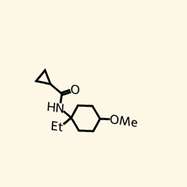 CCC1(NC(=O)C2CC2)CCC(OC)CC1